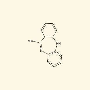 CC(C)(C)C1=Nc2ccccc2NC2C=CC=CC12